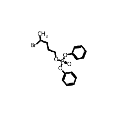 CC(Br)CCCOP(=O)(Oc1ccccc1)Oc1ccccc1